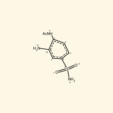 CC(=O)Nc1ccc(S(N)(=O)=O)cc1N